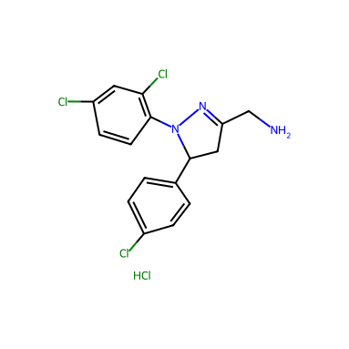 Cl.NCC1=NN(c2ccc(Cl)cc2Cl)C(c2ccc(Cl)cc2)C1